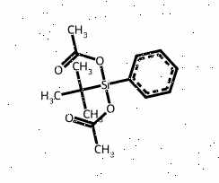 CC(=O)O[Si](OC(C)=O)(c1ccccc1)C(C)(C)C